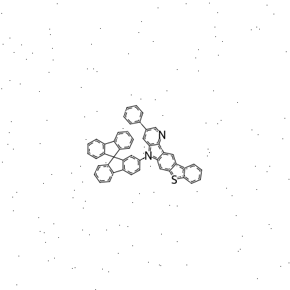 c1ccc(-c2cnc3c4cc5c(cc4n(-c4ccc6c(c4)C4(c7ccccc7-c7ccccc74)c4ccccc4-6)c3c2)sc2ccccc25)cc1